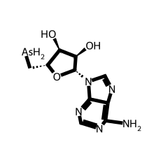 Nc1ncnc2c1ncn2[C@@H]1O[C@H](C[AsH2])[C@@H](O)[C@H]1O